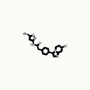 CC(C)(C)c1cc(NC(=O)Cc2ccc(-c3cnc4cc(Cl)ccn34)cc2)no1